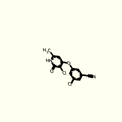 Cc1cc(Oc2cc(Cl)cc(C#N)c2)c(Cl)c(=O)[nH]1